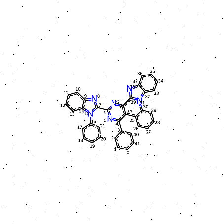 c1ccc(-c2nc(-c3nc4ccccc4n3-c3ccccc3)nc3c2c2ccccc2n2c4ccccc4nc32)cc1